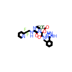 O=C(NCc1ccccc1-c1nnn[nH]1)C(OC(=O)C(F)(F)F)n1c(Cl)cnc(NCC(F)(F)c2ccccn2)c1=O